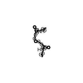 C=CC(=O)OCCNC(=O)OC(COCCOc1cccc(OCCOCC(COc2ccccc2)OC(=O)NCCOC(=O)C=C)c1)COc1ccccc1